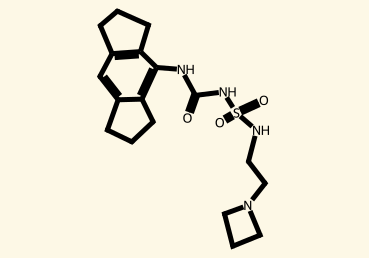 O=C(Nc1c2c(cc3c1CCC3)CCC2)NS(=O)(=O)NCCN1CCC1